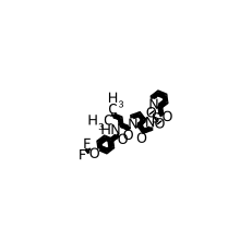 CC(C)CC(NC(=O)c1ccc(OC(F)F)cc1)C(=O)N1CCC2C1C(=O)CN2S(=O)(=O)C(=O)c1ccccn1